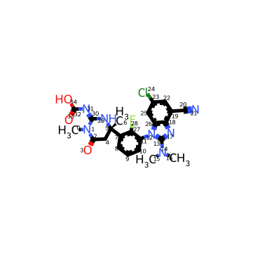 CN1C(=O)C[C@@](C)(c2cccc(-n3c(N(C)C)nc4c(C#N)cc(Cl)cc43)c2F)N/C1=N/C(=O)O